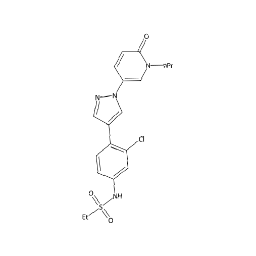 CCCn1cc(-n2cc(-c3ccc(NS(=O)(=O)CC)cc3Cl)cn2)ccc1=O